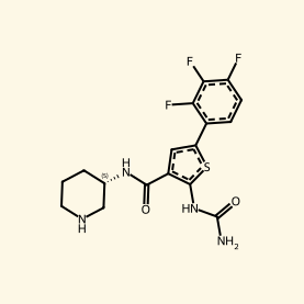 NC(=O)Nc1sc(-c2ccc(F)c(F)c2F)cc1C(=O)N[C@H]1CCCNC1